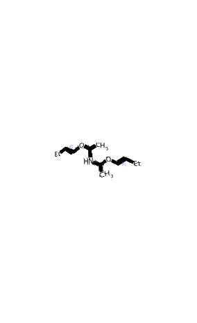 CC/C=C/OC(C)NC(C)O/C=C/CC